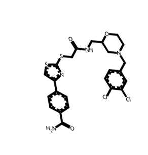 NC(=O)c1ccc(-c2csc(SCC(=O)NCC3CN(Cc4ccc(Cl)c(Cl)c4)CCO3)n2)cc1